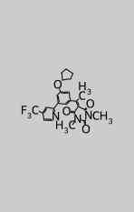 CC(=C1C(=O)N(C)C(=O)N(C)C1=O)c1cc(OC2CCCC2)cc(-c2cc(C(F)(F)F)ccn2)c1